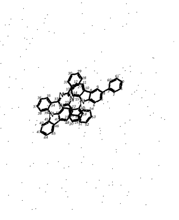 c1ccc(-c2ccc3c(c2)c2ccccc2n3-c2ccccc2-c2nc(-c3ccccc3)nc(-c3ccccc3-n3c4ccccc4c4cc(-c5ccccc5)ccc43)n2)cc1